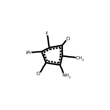 Cc1c(N)c(Cl)c(C(C)C)c(F)c1Cl